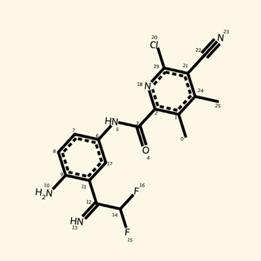 Cc1c(C(=O)Nc2ccc(N)c(C(=N)C(F)F)c2)nc(Cl)c(C#N)c1C